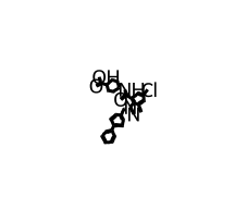 O=C(NC1CCC(C(=O)O)CC1)c1cc(Cl)cc2cnn(Cc3ccc(-c4ccccc4)cc3)c12